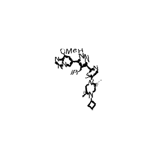 COc1cc(-c2[nH]nc(-c3ncc(N4C[C@H](C)N(C5CCC5)C[C@H]4C)s3)c2C(C)C)cn2ncnc12